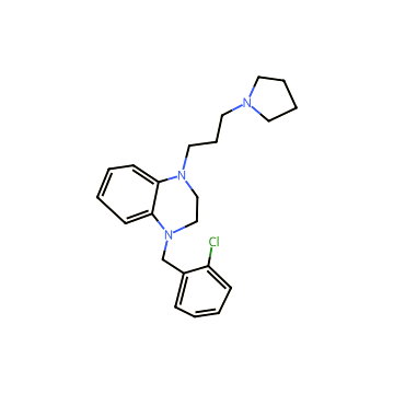 Clc1ccccc1CN1CCN(CCCN2CCCC2)c2ccccc21